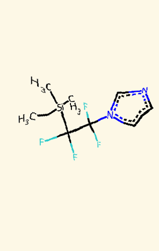 C[Si](C)(C)C(F)(F)C(F)(F)n1ccnc1